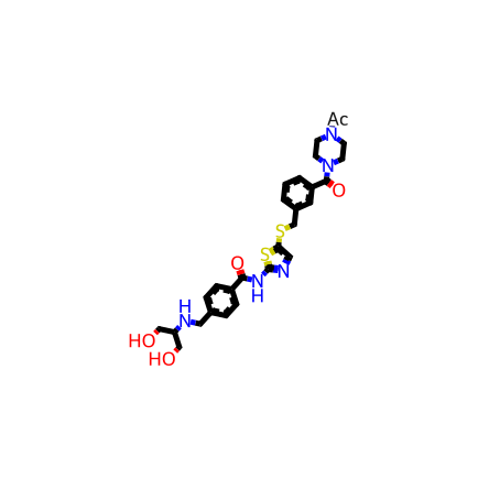 CC(=O)N1CCN(C(=O)c2cccc(CSc3cnc(NC(=O)c4ccc(CNC(CO)CO)cc4)s3)c2)CC1